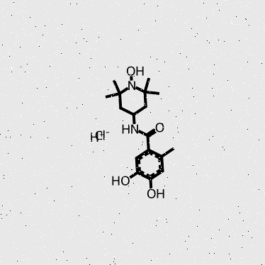 Cc1cc(O)c(O)cc1C(=O)NC1CC(C)(C)N(O)C(C)(C)C1.[Cl-].[H+]